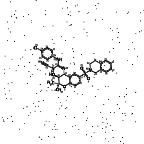 CC1(C)Oc2ccc(S(=O)(=O)N3CCc4ccccc4C3)cc2[C@@H](N=C(NC#N)Nc2ccc(Cl)cc2)[C@@H]1O